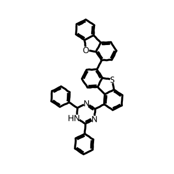 c1ccc(C2=NC(c3cccc4sc5c(-c6cccc7c6oc6ccccc67)cccc5c34)=NC(c3ccccc3)N2)cc1